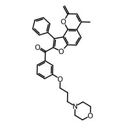 C=C1C=C(C)c2ccc3oc(C(=O)c4cccc(OCCCN5CCOCC5)c4)c(-c4ccccc4)c3c2O1